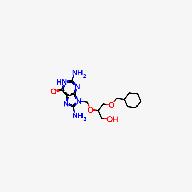 Nc1nc2c(nc(N)n2COC(CO)COCC2CCCCC2)c(=O)[nH]1